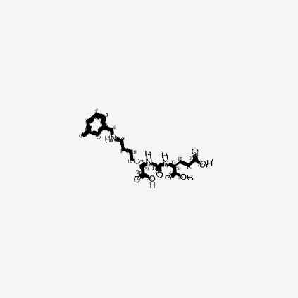 Cc1cccc(CNCCCC[C@H](NC(=O)N[C@@H](CCC(=O)O)C(=O)O)C(=O)O)c1